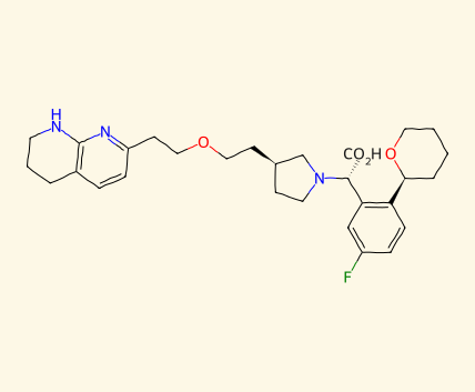 O=C(O)[C@H](c1cc(F)ccc1[C@@H]1CCCCO1)N1CC[C@@H](CCOCCc2ccc3c(n2)NCCC3)C1